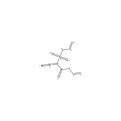 C=CCC(=O)C(=[N+]=[N-])S(=O)(=O)CC=C